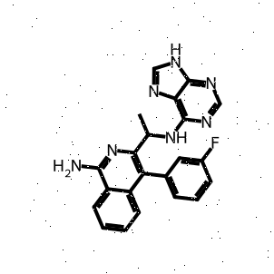 CC(Nc1ncnc2[nH]cnc12)c1nc(N)c2ccccc2c1-c1cccc(F)c1